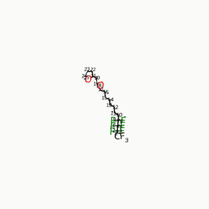 FC(F)(F)C(F)(F)C(F)(F)C(F)(F)CCCCCCCCOCCC1CCCO1